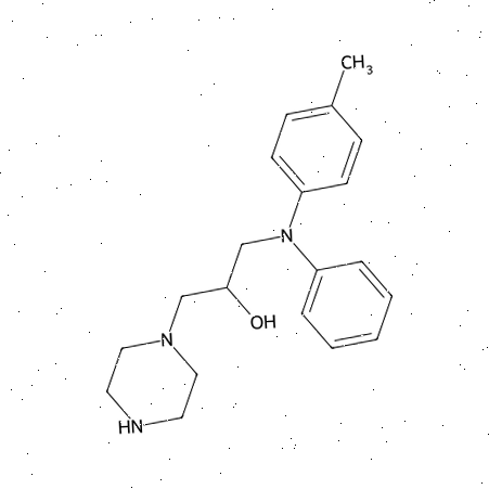 Cc1ccc(N(CC(O)CN2CCNCC2)c2ccccc2)cc1